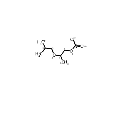 CC(C)COC(C)COC(=O)Cl